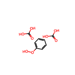 O=C(O)O.O=C(O)O.OOc1ccccc1